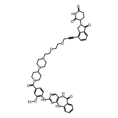 CCOc1cc(C(=O)N2CCC(N3CCN(CCOCCOCC#Cc4cccc5c4CN(C4CCC(=O)NC4=O)C5=O)CC3)CC2)ccc1Nc1ncc2c(n1)Nc1ccccc1C(=O)N2